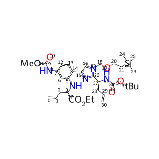 C=CCC(Nc1cc(NC(=O)OC)ccc1-c1cn(COCC[Si](C)(C)C)c([C@H](CC=C)NC(=O)OC(C)(C)C)n1)C(=O)OCC